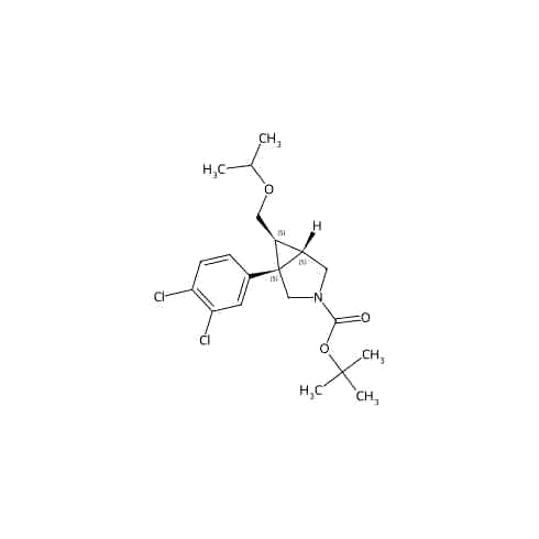 CC(C)OC[C@H]1[C@@H]2CN(C(=O)OC(C)(C)C)C[C@]12c1ccc(Cl)c(Cl)c1